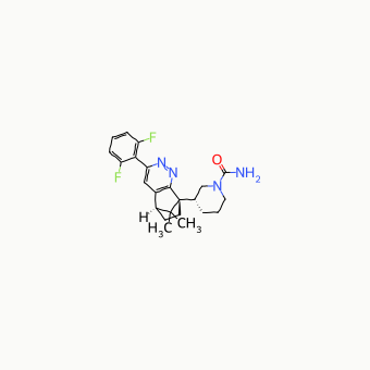 CC1(C)[C@H]2CC[C@]1([C@H]1CCCN(C(N)=O)C1)c1nnc(-c3c(F)cccc3F)cc12